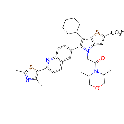 Cc1nc(C)c(-c2ccc3cc(-c4c(C5CCCCC5)c5sc(C(=O)O)cc5n4CC(=O)N4C(C)COCC4C)ccc3n2)s1